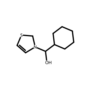 OC(C1CCCCC1)N1C=CSC1